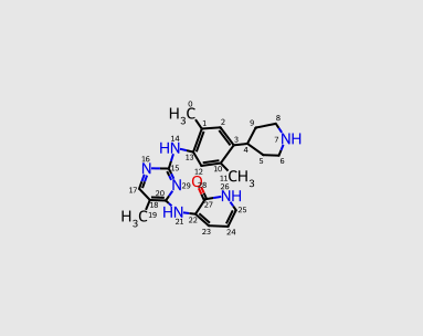 Cc1cc(C2CCNCC2)c(C)cc1Nc1ncc(C)c(Nc2ccc[nH]c2=O)n1